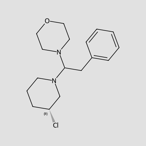 Cl[C@@H]1CCCN(C(Cc2ccccc2)N2CCOCC2)C1